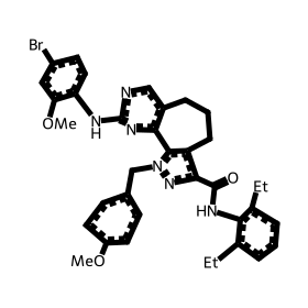 CCc1cccc(CC)c1NC(=O)c1nn(Cc2ccc(OC)cc2)c2c1CCCc1cnc(Nc3ccc(Br)cc3OC)nc1-2